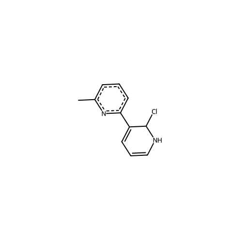 Cc1cccc(C2=CC=CNC2Cl)n1